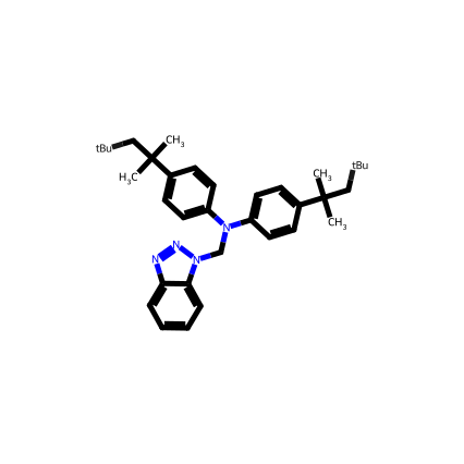 CC(C)(C)CC(C)(C)c1ccc(N(Cn2nnc3ccccc32)c2ccc(C(C)(C)CC(C)(C)C)cc2)cc1